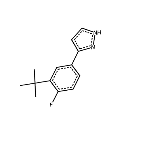 CC(C)(C)c1cc(-c2cc[nH]n2)ccc1F